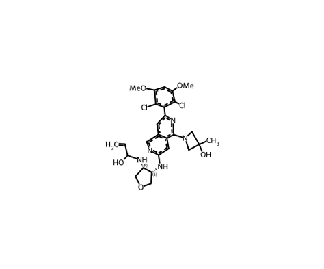 C=CC(O)N[C@H]1COC[C@H]1Nc1cc2c(N3CC(C)(O)C3)nc(-c3c(Cl)c(OC)cc(OC)c3Cl)cc2cn1